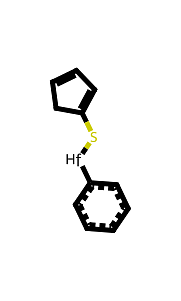 C1=CCC([S][Hf][c]2ccccc2)=C1